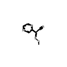 CO/N=C(\C#N)c1cnccn1